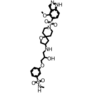 CNS(=O)(=O)c1cccc(OCC(O)CNC2COC3(CCN(S(=O)(=O)c4ccc5[nH]ncc5c4OC)CC3)C2)c1